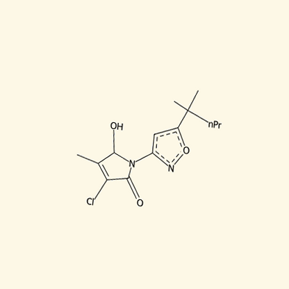 CCCC(C)(C)c1cc(N2C(=O)C(Cl)=C(C)C2O)no1